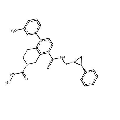 CC(C)(C)NC(=O)N1CCc2c(-c3cccc(C(F)(F)F)c3)ccc(C(=O)NC[C@@H]3C[C@H]3c3ccccc3)c2C1